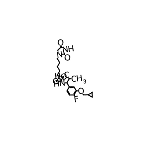 CC(C)C(NS(=O)(=O)CCCCCN1CC(=O)NC1=O)c1ccc(F)c(OCC2CC2)c1